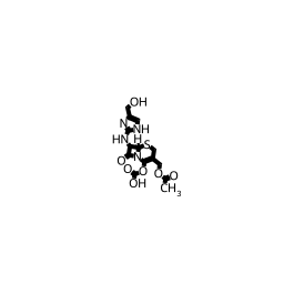 CC(=O)OCC1=C(OC(=O)O)N2C(=O)C(Nc3nc(CO)c[nH]3)[C@@H]2SC1